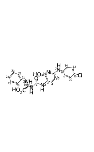 O=C(Nc1cnc(Nc2ccc(Cl)cc2)nc1O)N[C@H](Nc1ccccc1)C(=O)O